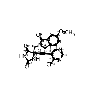 COc1ccc2c(c1)C(=O)N(C[C@@]1(C#Cc3cncnc3Cl)NC(=O)NC1=O)C2